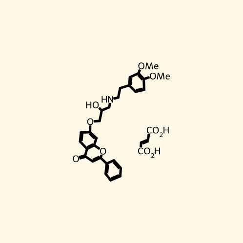 COc1ccc(CCNCC(O)COc2ccc3c(=O)cc(-c4ccccc4)oc3c2)cc1OC.O=C(O)C=CC(=O)O